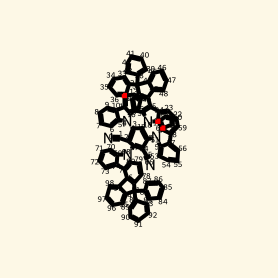 N#Cc1c(-n2c3ccccc3c3ccccc32)c(-n2c3ccccc3c3c4c(ccc32)C(c2ccccc2)(c2ccccc2)c2ccccc2-4)c(-n2c3ccccc3c3ccccc32)c(C#N)c1-n1c2ccccc2c2c3c(ccc21)C(c1ccccc1)(c1ccccc1)c1ccccc1-3